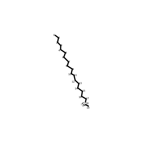 CCCCCCCCCCCCCCCCCC[Si]C